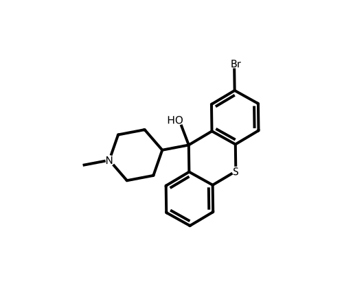 CN1CCC(C2(O)c3ccccc3Sc3ccc(Br)cc32)CC1